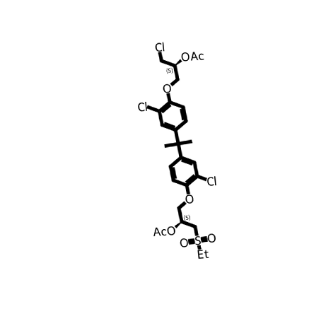 CCS(=O)(=O)C[C@H](COc1ccc(C(C)(C)c2ccc(OC[C@@H](CCl)OC(C)=O)c(Cl)c2)cc1Cl)OC(C)=O